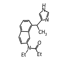 CCC(=O)N(CC)c1ccc2cccc(C(C)c3c[nH]cn3)c2c1